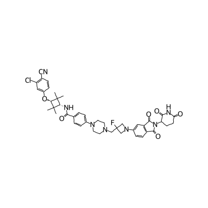 CC1(C)[C@H](NC(=O)c2ccc(N3CCN(CC4(F)CN(c5ccc6c(c5)C(=O)N(C5CCC(=O)NC5=O)C6=O)C4)CC3)cc2)C(C)(C)[C@H]1Oc1ccc(C#N)c(Cl)c1